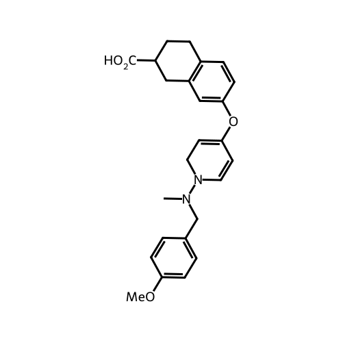 COc1ccc(CN(C)N2C=CC(Oc3ccc4c(c3)CC(C(=O)O)CC4)=CC2)cc1